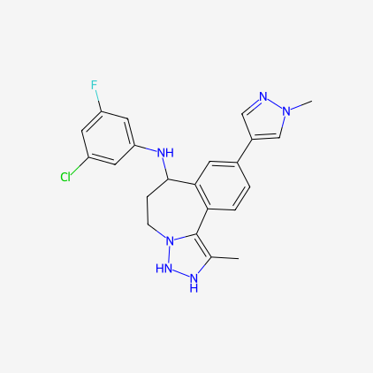 CC1=C2c3ccc(-c4cnn(C)c4)cc3C(Nc3cc(F)cc(Cl)c3)CCN2NN1